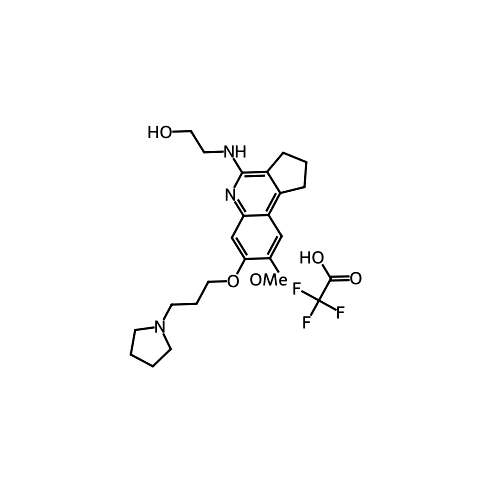 COc1cc2c3c(c(NCCO)nc2cc1OCCCN1CCCC1)CCC3.O=C(O)C(F)(F)F